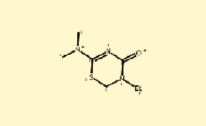 CCN1CSC(N(C)C)=NC1=O